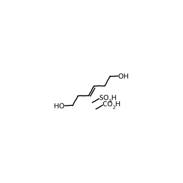 CC(=O)O.CS(=O)(=O)O.OCCC=CCCO